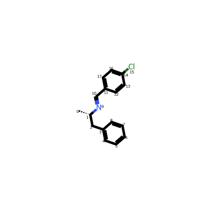 C[C@@H](Cc1ccccc1)N=Cc1ccc(Cl)cc1